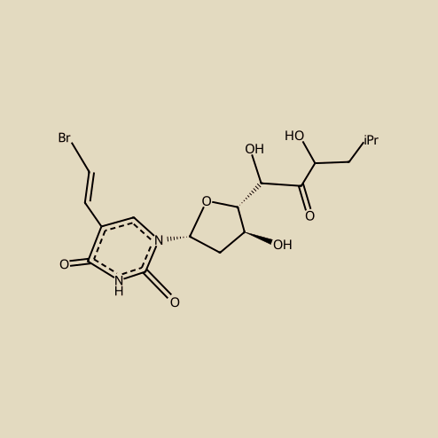 CC(C)CC(O)C(=O)C(O)[C@H]1O[C@@H](n2cc(/C=C/Br)c(=O)[nH]c2=O)C[C@@H]1O